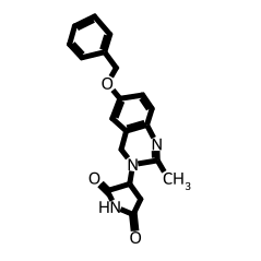 CC1=Nc2ccc(OCc3ccccc3)cc2CN1C1CC(=O)NC1=O